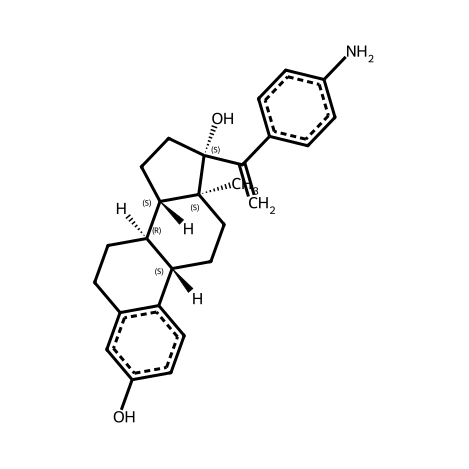 C=C(c1ccc(N)cc1)[C@]1(O)CC[C@H]2[C@@H]3CCc4cc(O)ccc4[C@H]3CC[C@@]21C